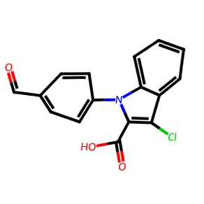 O=Cc1ccc(-n2c(C(=O)O)c(Cl)c3ccccc32)cc1